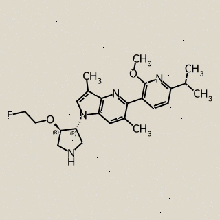 COc1nc(C(C)C)ccc1-c1nc2c(C)cn([C@@H]3CNC[C@H]3OCCF)c2cc1C